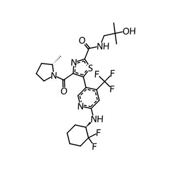 C[C@H]1CCCN1C(=O)c1nc(C(=O)NCC(C)(C)O)sc1-c1cnc(N[C@@H]2CCCCC2(F)F)cc1C(F)(F)F